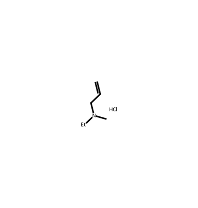 C=CCN(C)CC.Cl